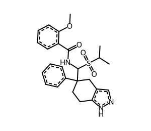 COc1ccccc1C(=O)NC(C1(c2ccccc2)CCc2[nH]ncc2C1)S(=O)(=O)C(C)C